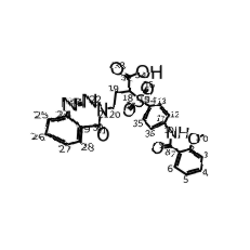 COc1ccccc1C(=O)Nc1ccc(S(=O)(=O)C(CCn2nnc3ccccc3c2=O)C(=O)O)cc1